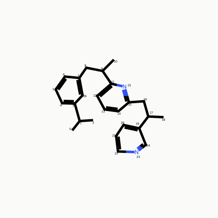 CC(C)c1cccc(CC(C)c2cccc(CC(C)c3cccnc3)n2)c1